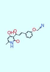 Cc1cc(O)c(C(=O)/C=C/c2cccc(OCC#N)c2)c(=O)[nH]1